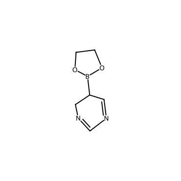 C1=NC=NCC1B1OCCO1